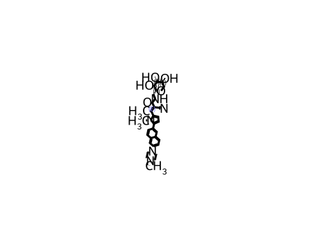 C/C(=C(/C#N)C(=O)NC[C@H]1OC[C@H](O)[C@@H](O)[C@@H]1O)c1ccc(-c2ccc3cc(N4CCN(C)CC4)ccc3c2)n1C